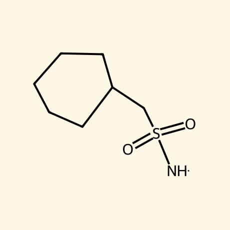 [NH]S(=O)(=O)CC1CCCCC1